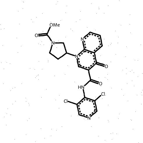 COC(=O)N1CCC(n2cc(C(=O)Nc3c(Cl)cncc3Cl)c(=O)c3cccnc32)C1